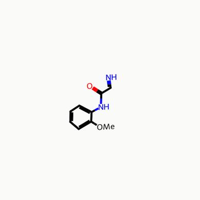 COc1ccccc1NC(=O)C=N